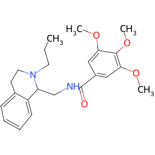 CCCN1CCc2ccccc2C1CNC(=O)c1cc(OC)c(OC)c(OC)c1